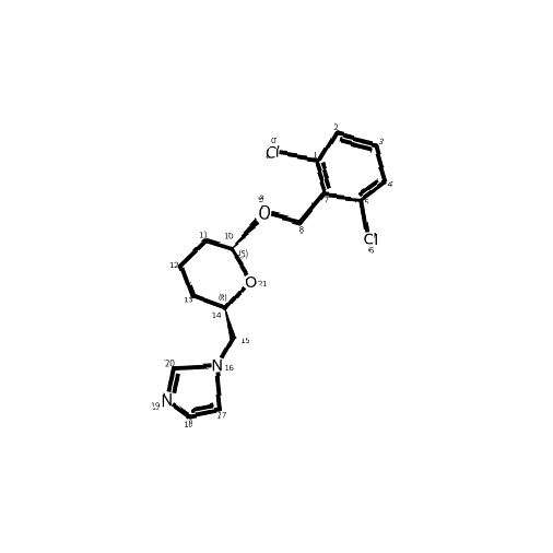 Clc1cccc(Cl)c1CO[C@@H]1CCC[C@H](Cn2ccnc2)O1